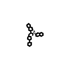 CC(C(Cc1ccc(-c2ccccc2)cc1)c1ccc2ccccc2c1)N(C)c1ccc2ccccc2c1